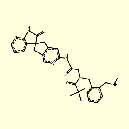 CNCc1ccccc1CN(CC(=O)Nc1cc2c(cn1)CC1(C2)C(=O)Nc2ncccc21)C(=O)C(C)(C)C